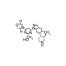 Cc1nc(N2C[C@@H]3C[C@H]2CO3)cc(-n2ncc3cc(C)c(C4CCNCC4F)cc32)n1.Cl